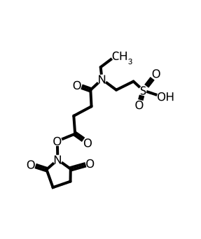 CCN(CCS(=O)(=O)O)C(=O)CCC(=O)ON1C(=O)CCC1=O